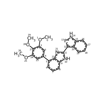 COc1cc(-c2cccc3[nH]c(-c4p[nH]c5ccccc45)nc23)cc(OC)c1OC